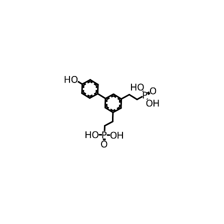 O=P(O)(O)CCc1cc(CCP(=O)(O)O)cc(-c2ccc(O)cc2)c1